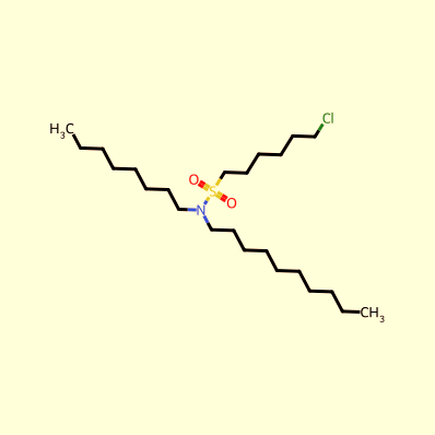 CCCCCCCCCCN(CCCCCCCC)S(=O)(=O)CCCCCCCl